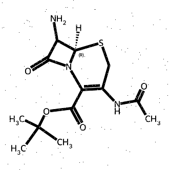 CC(=O)NC1=C(C(=O)OC(C)(C)C)N2C(=O)C(N)[C@H]2SC1